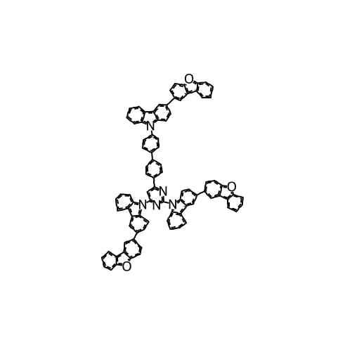 c1ccc2c(c1)oc1ccc(-c3ccc4c(c3)c3ccccc3n4-c3ccc(-c4ccc(-c5cc(-n6c7ccccc7c7cc(-c8ccc9oc%10ccccc%10c9c8)ccc76)nc(-n6c7ccccc7c7cc(-c8ccc9oc%10ccccc%10c9c8)ccc76)n5)cc4)cc3)cc12